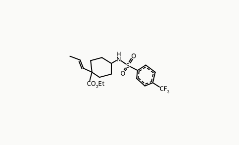 CC=CC1(C(=O)OCC)CCC(NS(=O)(=O)c2ccc(C(F)(F)F)cc2)CC1